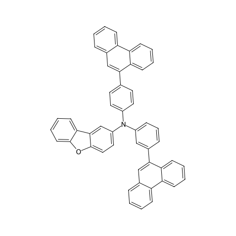 c1cc(-c2cc3ccccc3c3ccccc23)cc(N(c2ccc(-c3cc4ccccc4c4ccccc34)cc2)c2ccc3oc4ccccc4c3c2)c1